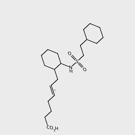 O=C(O)CCC/C=C/CC1CCCCC1NS(=O)(=O)CCC1CCCCC1